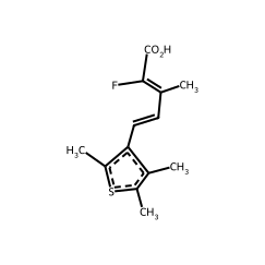 CC(C=Cc1c(C)sc(C)c1C)=C(F)C(=O)O